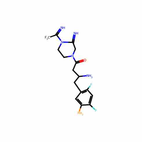 N=C1CN(C(=O)CC(N)Cc2cc(P)c(F)cc2F)CCN1C(=N)C(F)(F)F